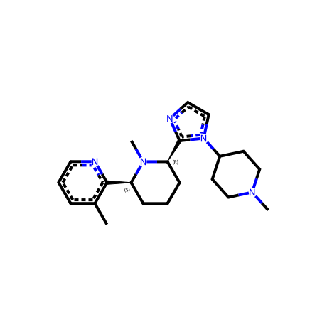 Cc1cccnc1[C@@H]1CCC[C@H](c2nccn2C2CCN(C)CC2)N1C